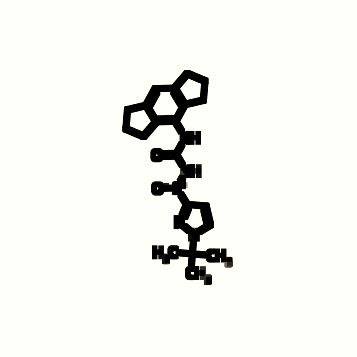 CC(C)(C)n1ccc([S+]([O-])NC(=O)Nc2c3c(cc4c2CCC4)CCC3)n1